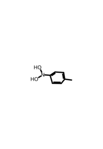 Cc1ccc(N(O)O)cc1